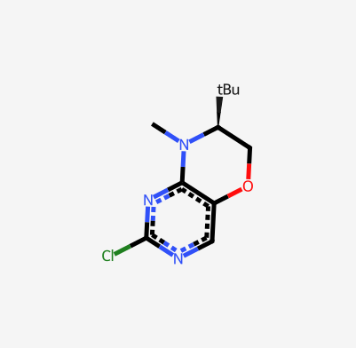 CN1c2nc(Cl)ncc2OC[C@@H]1C(C)(C)C